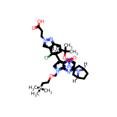 CC(C)(C)OC(=O)N[C@H]1C[C@H]2CC[C@@H](C1)N2c1cnc2c(-c3ccc4nn(CCC(=O)O)cc4c3Cl)cn(COCC[Si](C)(C)C)c2n1